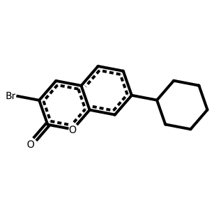 O=c1oc2cc(C3CCCCC3)ccc2cc1Br